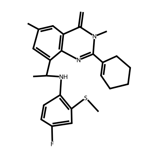 C=C1c2cc(C)cc(C(C)Nc3ccc(F)cc3SC)c2N=C(C2=CCCCC2)N1C